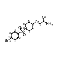 NC(=O)COC1CCN(S(=O)(=O)c2ccc(Br)cc2)CC1